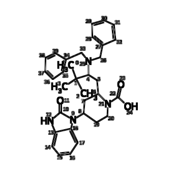 CC(C)(C)C(CC1CC(n2c(=O)[nH]c3ccccc32)CCN1C(=O)O)N(Cc1ccccc1)Cc1ccccc1